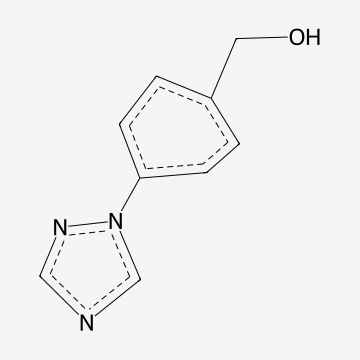 OCc1ccc(-n2cncn2)cc1